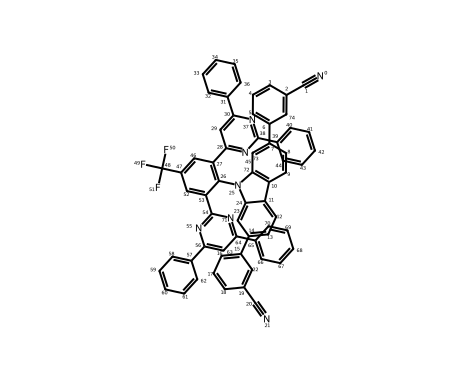 N#Cc1cccc(-c2ccc3c4ccc(-c5cccc(C#N)c5)cc4n(-c4c(-c5cc(-c6ccccc6)nc(-c6ccccc6)n5)cc(C(F)(F)F)cc4-c4nc(-c5ccccc5)cc(-c5ccccc5)n4)c3c2)c1